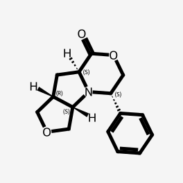 O=C1OC[C@H](c2ccccc2)N2[C@@H]3COC[C@@H]3C[C@@H]12